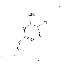 C=CC(=O)OC(C)C(Cl)Cl